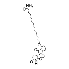 NC(=O)CCCCCCCCCCCCCCCOc1cccc2c1C(=O)N(C1CCC(=O)NC1=O)C2=O